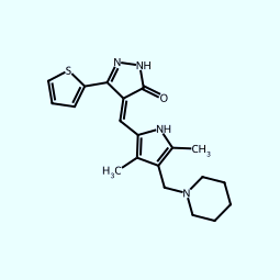 Cc1[nH]c(C=C2C(=O)NN=C2c2cccs2)c(C)c1CN1CCCCC1